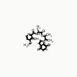 COc1ccnc(C(=O)N[C@@H](C)C(=O)OC(C)C(C)n2ccc3c(F)ccc(Br)c32)c1O